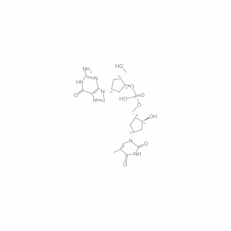 Cc1cn([C@@H]2C[C@H](COP(=O)(O)O[C@H]3C[C@H](n4cnc5c(=O)[nH]c(N)nc54)C[C@@H]3CO)[C@@H](O)C2)c(=O)[nH]c1=O